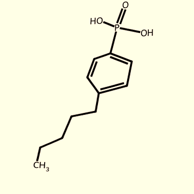 CCCCCc1ccc(P(=O)(O)O)cc1